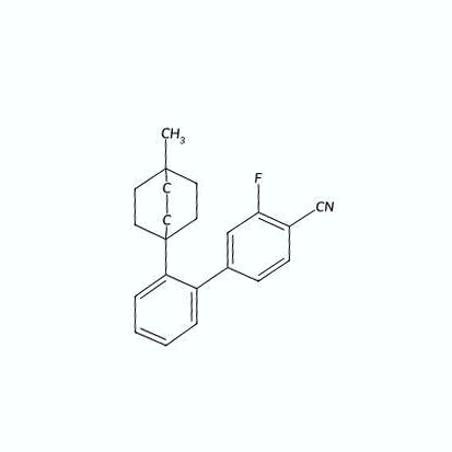 CC12CCC(c3ccccc3-c3ccc(C#N)c(F)c3)(CC1)CC2